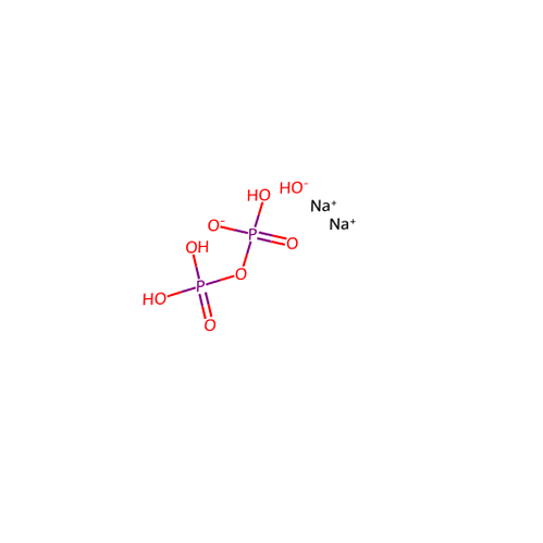 O=P([O-])(O)OP(=O)(O)O.[Na+].[Na+].[OH-]